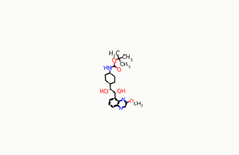 COc1cnc2cccc([C@@H](O)[C@H](O)C3CCC(NC(=O)OC(C)(C)C)CC3)c2n1